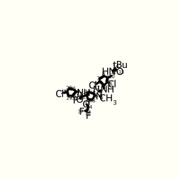 Cn1c(Nc2c(Cl)ccc(CNC(=O)C(C)(C)C)c2Cl)nc2cc(C(=O)Nc3ccc(Cl)cc3F)c(OCC(F)F)cc21